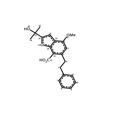 COc1cc(CCc2ccccc2)c(C(=O)O)c2oc(C(C)(C)O)cc12